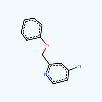 Clc1ccnc(COc2cc[c]cc2)c1